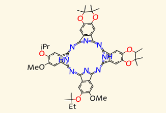 CCC(C)(C)Oc1cc2c(cc1OC)-c1nc-2nc2[nH]c(nc3nc(nc4[nH]c(n1)c1cc5c(cc41)OC(C)C(C)(C)O5)-c1cc4c(cc1-3)OC(C)(C)C(C)(C)O4)c1cc(OC(C)C)c(OC)cc21